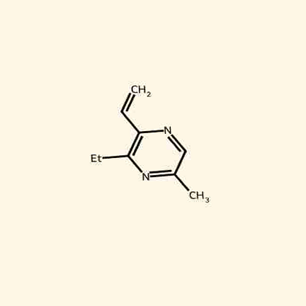 C=Cc1ncc(C)nc1CC